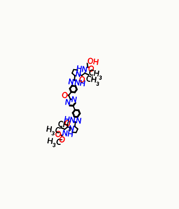 COC(=O)NC(C(=O)N1CCCC1c1nc2ccc(-c3cnc(C(=O)c4ccc5[nH]c(C6CCCN6C(=O)C(NC(=O)CO)C(C)C)nc5c4)nc3)cc2[nH]1)C(C)C